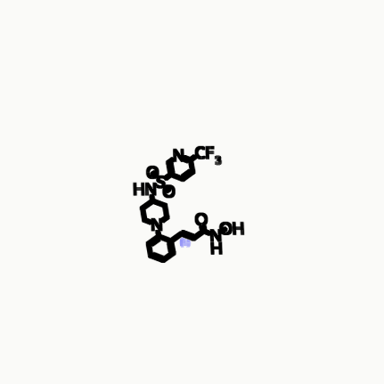 O=C(/C=C/c1ccccc1N1CCC(NS(=O)(=O)c2ccc(C(F)(F)F)nc2)CC1)NO